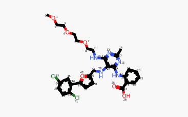 COCCOCCOCCNc1nc(C)nc(Nc2ccccc2C(=O)O)c1NCc1ccc(-c2cc(Cl)ccc2Cl)o1